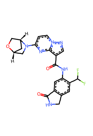 O=C1NCc2cc(C(F)F)c(NC(=O)c3cnn4ccc(N5C[C@H]6C[C@@H]5CO6)nc34)cc21